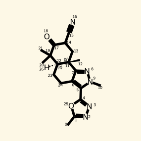 Cc1nnc(-c2c3c(nn2C)[C@@]2(C)CC(C#N)C(=O)C(C)(C)[C@@H]2CC3)o1